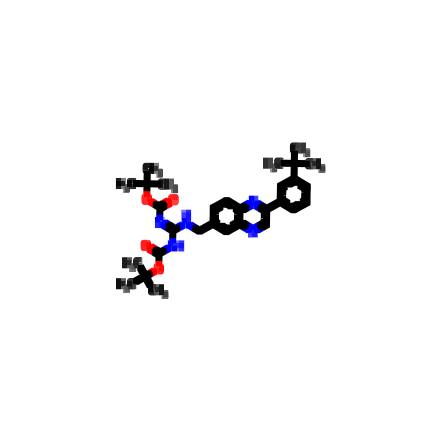 CC(C)(C)OC(=O)/N=C(\NCc1ccc2nc(-c3cccc(C(C)(C)C)c3)cnc2c1)NC(=O)OC(C)(C)C